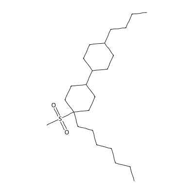 CCCCCCCC1(S(C)(=O)=O)CCC(C2CCC(CCCC)CC2)CC1